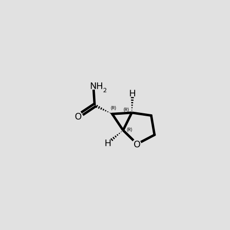 NC(=O)[C@@H]1[C@H]2CCO[C@H]21